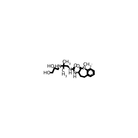 [CH2]N1C(=O)[C@H](NC(=O)NCC(C)(C)NC[C@H](O)CO)CCc2ccccc21